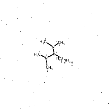 BB(N(C)C)N(C)C.N.[H+]